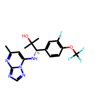 Cc1cc(N[C@@H](c2ccc(OC(F)(F)F)c(F)c2)C(C)(C)O)n2ncnc2n1